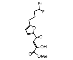 CCC(F)CCCc1ccc(C(=O)C=C(O)C(=O)OC)o1